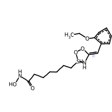 CCOc1ccccc1/C=C1/N[SH](CCCCCCC(=O)NO)OO1